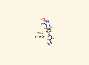 CN(C)Cc1ccc(-c2cc3ccc(C(=O)NO)cc3o2)cc1.O=C(O)C(F)(F)F